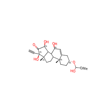 C#C[C@]1(O)C(=O)[C@@H](O)C2C3C(CC[C@@]21C)[C@@]1(C)CC[C@@H](OC(O)OC)CC1=C[C@@H]3O